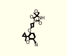 N#Cc1ccc(OC2CC(N3C(=O)NC4(COC4)C3=O)C2)c2c1OCC21CC1